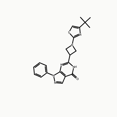 CC(C)(C)c1csc(N2CC(c3nc4c(cnn4-c4ccccc4)c(=O)[nH]3)C2)n1